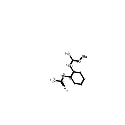 CC(C)(C)OC(O)NC1CCCCC1NC(=O)C(F)(F)F